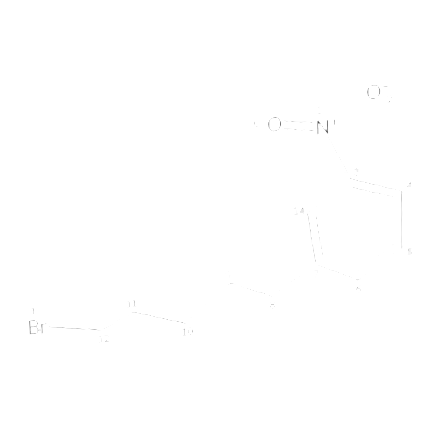 O=[N+]([O-])c1cccc(CCCCCBr)c1